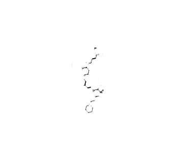 CC(=O)O[C@@H](C)C=CC(=O)N[C@@H]1C[C@H](C)[C@H](CC=C(C)C=C[C@H]2O[C@H](CC(=O)N3CCCCC3)C[C@@]3(CO3)[C@@H]2O)O[C@@H]1C